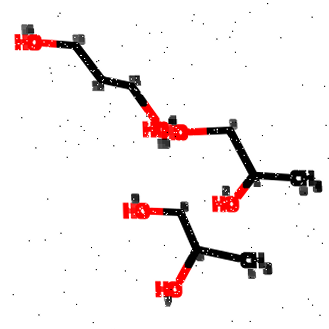 CC(O)CO.CC(O)CO.OCCCO